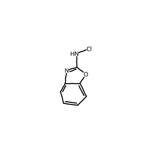 ClNc1nc2ccccc2o1